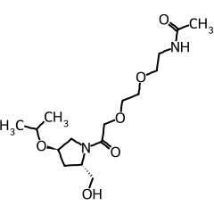 CC(=O)NCCOCCOCC(=O)N1C[C@H](OC(C)C)C[C@H]1CO